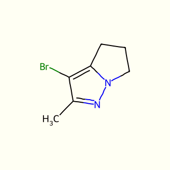 Cc1nn2c(c1Br)CCC2